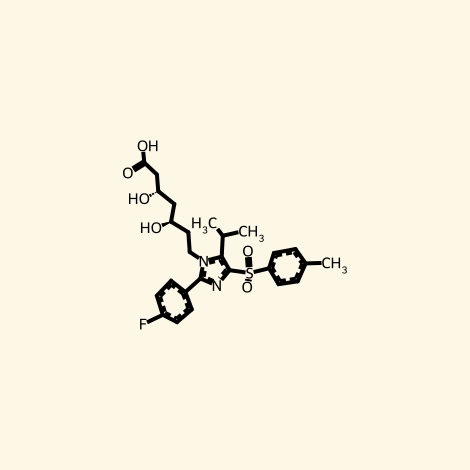 Cc1ccc(S(=O)(=O)c2nc(-c3ccc(F)cc3)n(CC[C@@H](O)C[C@H](O)CC(=O)O)c2C(C)C)cc1